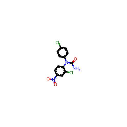 NC(=O)N(c1ccc(Cl)cc1)c1ccc([N+](=O)[O-])cc1Cl